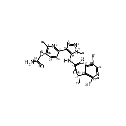 Cc1nc(-c2nnn(C)c2NC(=O)O[C@H](C)c2cc(F)cnc2F)ccc1OC(N)=O